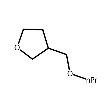 CCCOCC1CCOC1